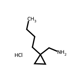 CCCCC1(CN)CC1.Cl